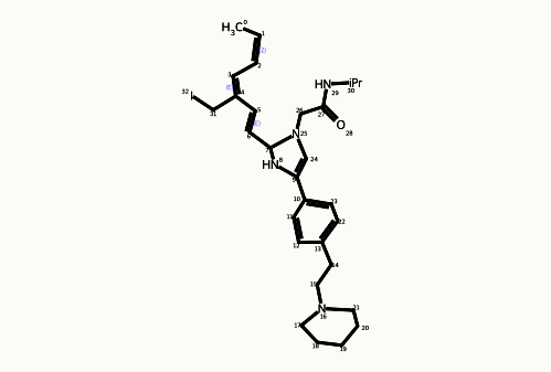 C\C=C/C=C(\C=C\C1NC(c2ccc(CCN3CCCCC3)cc2)=CN1CC(=O)NC(C)C)CI